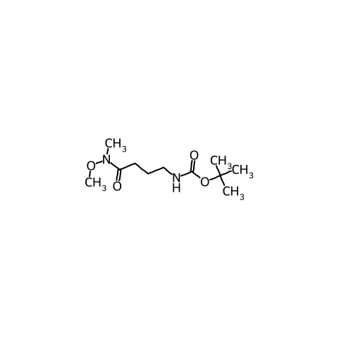 CON(C)C(=O)CCCNC(=O)OC(C)(C)C